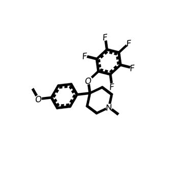 COc1ccc(C2(Oc3c(F)c(F)c(F)c(F)c3F)CCN(C)CC2)cc1